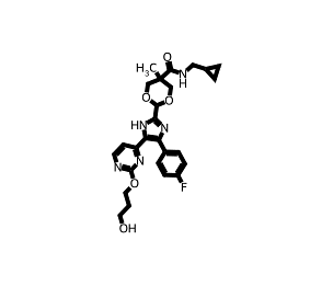 CC1(C(=O)NCC2CC2)COC(c2nc(-c3ccc(F)cc3)c(-c3ccnc(OCCCO)n3)[nH]2)OC1